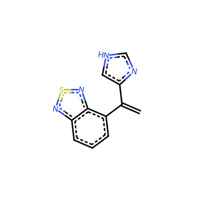 C=C(c1c[nH]cn1)c1cccc2nsnc12